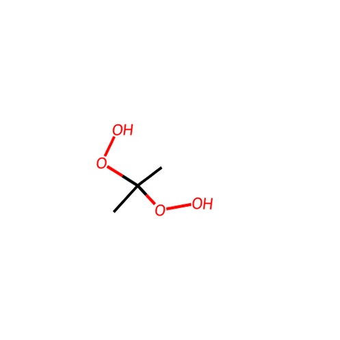 CC(C)(OO)OO